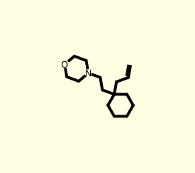 C=CCC1(CCN2CCOCC2)CCCCC1